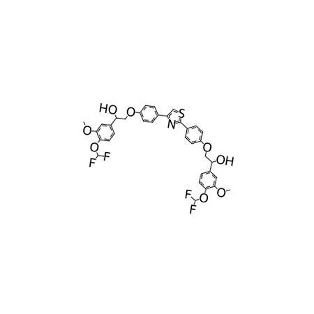 COc1cc(C(O)COc2ccc(-c3csc(-c4ccc(OCC(O)c5ccc(OC(F)F)c(OC)c5)cc4)n3)cc2)ccc1OC(F)F